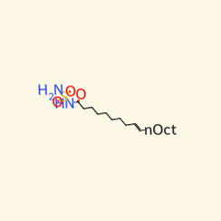 CCCCCCCCC=CCCCCCCCC(=O)NS(N)(=O)=O